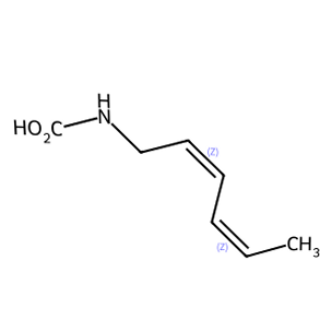 C/C=C\C=C/CNC(=O)O